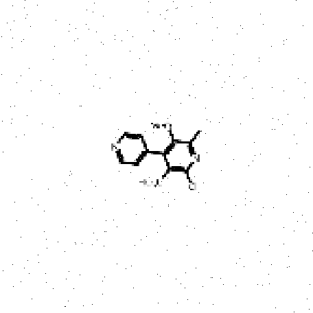 COc1c(C)nc(Cl)c(C(=O)O)c1-c1ccncc1